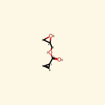 O=C(OCC1CO1)C1C=C1